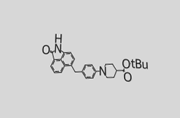 CC(C)(C)OC(=O)C1CCN(c2ccc(Cc3ccc4c5c(cccc35)C(=O)N4)cc2)CC1